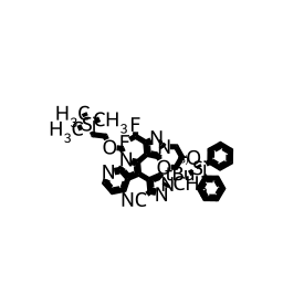 Cn1cc(-c2c(-c3c(C(F)F)nn4c3OC[C@@H](O[Si](c3ccccc3)(c3ccccc3)C(C)(C)C)C4)n(COCC[Si](C)(C)C)c3ncccc23)c(C#N)n1